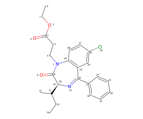 CCOC(=O)CCN1C(=O)[C@H](C(C)CC)N=C(c2ccccc2)c2cc(Cl)ccc21